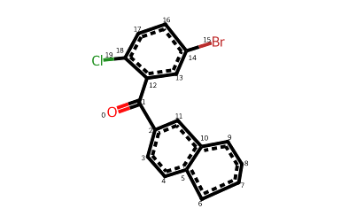 O=C(c1ccc2ccccc2c1)c1cc(Br)ccc1Cl